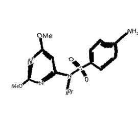 COc1cc(N(C(C)C)S(=O)(=O)c2ccc(N)cc2)nc(OC)n1